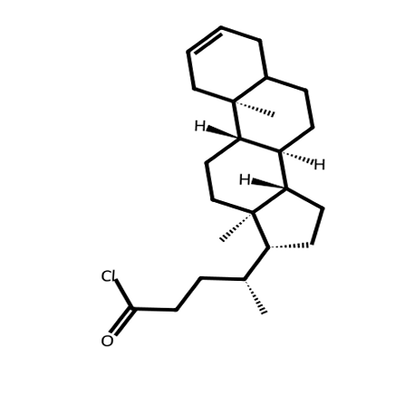 C[C@H](CCC(=O)Cl)[C@H]1CC[C@H]2[C@@H]3CCC4CC=CC[C@]4(C)[C@H]3CC[C@]12C